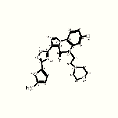 Cc1ccc(-c2noc(-c3ncn4c3c(=O)n(CCN3CCOCC3)c3cc(Cl)ccc34)n2)o1